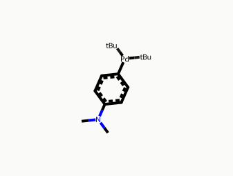 CN(C)c1cc[c]([Pd-]([C](C)(C)C)[C](C)(C)C)cc1